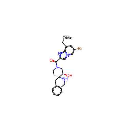 COCc1cc(Br)cn2cc(C(=O)N3CC[C@]4(Cc5ccccc5CN4)[C@H](O)C3)nc12